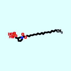 CCCCCCCCCCCCCCCCCCOC(=O)N1CCCC(COP(=O)(O)O)C1